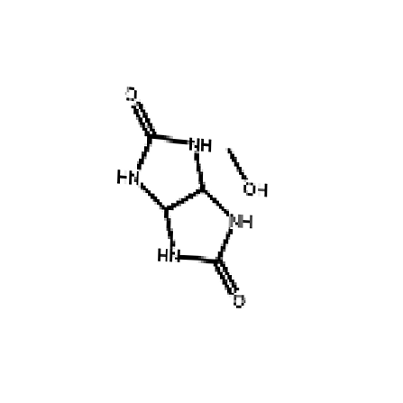 CO.O=C1NC2NC(=O)NC2N1